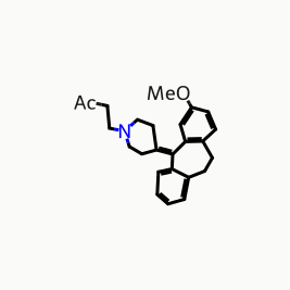 COc1ccc2c(c1)C(=C1CCN(CCC(C)=O)CC1)c1ccccc1CC2